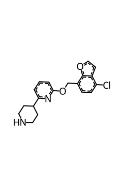 Clc1ccc(COc2cccc(C3CCNCC3)n2)c2occc12